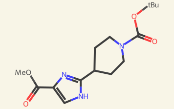 COC(=O)c1c[nH]c(C2CCN(C(=O)OC(C)(C)C)CC2)n1